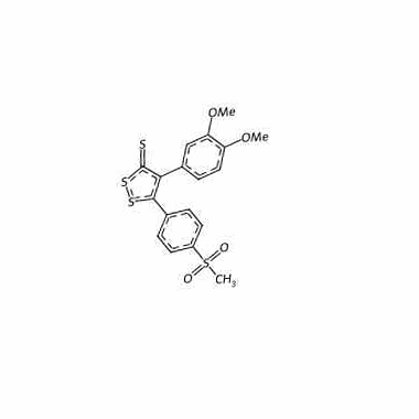 COc1ccc(-c2c(-c3ccc(S(C)(=O)=O)cc3)ssc2=S)cc1OC